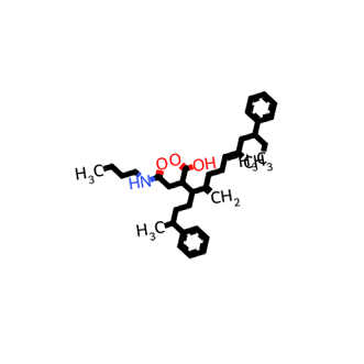 C=C(CC/C=C(\C)CC(CC)c1ccccc1)C(CCC(C)c1ccccc1)C(CC(=O)NCCCC)C(=O)O